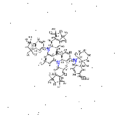 Cc1cc2c3c(c1)N(c1cc4c(cc1C)C(C)(C)CC4(C)C)c1cc(N4c5ccc(C(C)(C)C)cc5C5(C)CCCCC45C)ccc1B3c1cc3c(cc1N2c1ccc2c(c1)C(C)(C)CC2(C)C)C(C)(C)CC3(C)C